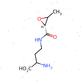 CC1O[C@H]1C(=O)NCCC(N)C(=O)O